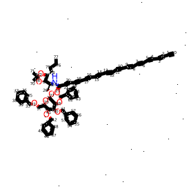 C#CC#CC#CC#CC#CC#CC#CC#CC#CC#CC#CC(=O)N[C@@H](COC1OC(COCc2ccccc2)C(OCc2ccccc2)C(OCc2ccccc2)C1OCc1ccccc1)[C@@H]1OC(C)(C)O[C@@H]1CCCC